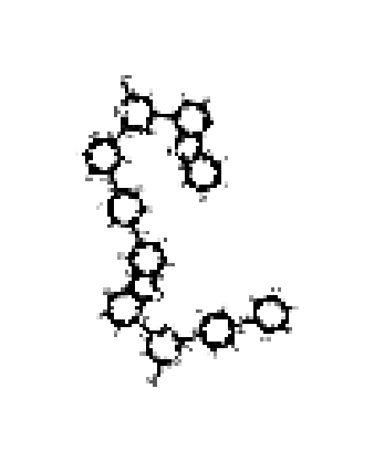 Ic1cc(-c2cccc3c2oc2ccccc23)nc(-c2cccc(-c3ccc(-c4ccc5oc6c(-c7cc(I)nc(-c8ccc(-c9ccccc9)cc8)n7)cccc6c5c4)cc3)c2)n1